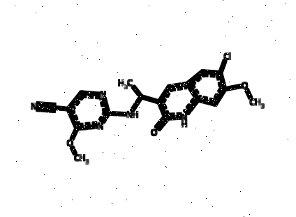 COc1cc2[nH]c(=O)c(C(C)Nc3ncc(C#N)c(OC)n3)cc2cc1Cl